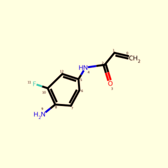 C=CC(=O)Nc1ccc(N)c(F)c1